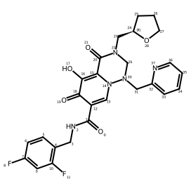 O=C(NCc1ccc(F)cc1F)c1cn2c(c(O)c1=O)C(=O)N(C[C@H]1CCCO1)CN2Cc1ccccn1